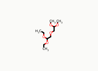 CCOC(COCC(OC)OC)OCC